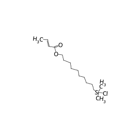 CC=CC(=O)OCCCCCCCCCC[Si](C)(C)Cl